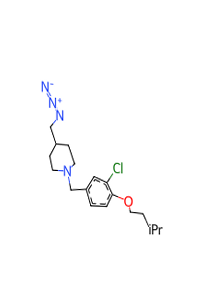 CC(C)CCOc1ccc(CN2CCC(CN=[N+]=[N-])CC2)cc1Cl